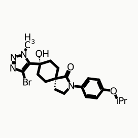 CC(C)Oc1ccc(N2CC[C@]3(CC[C@](O)(c4c(Br)nnn4C)CC3)C2=O)cc1